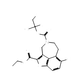 CCOC(=O)c1oc2ccc(Cl)c3c2c1CN(C(=O)OC(Cl)(Cl)CCl)CC3